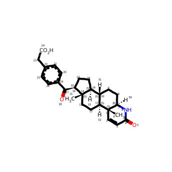 C[C@]12C=CC(=O)N[C@@H]1CC[C@@H]1[C@@H]2CC[C@]2(C)[C@@H](C(=O)c3ccc(CC(=O)O)cc3)CC[C@@H]12